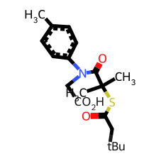 Cc1ccc(N(CC(=O)O)C(=O)C(C)(C)SC(=O)CC(C)(C)C)cc1